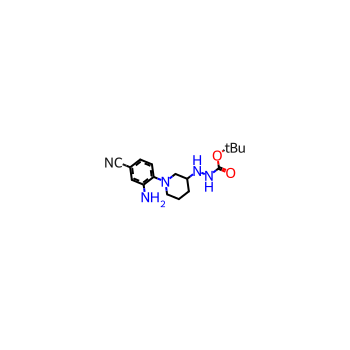 CC(C)(C)OC(=O)NNC1CCCN(c2ccc(C#N)cc2N)C1